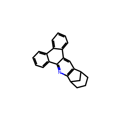 c1ccc2c(c1)c1ccccc1c1nc3c(cc21)C1CCCC3C1